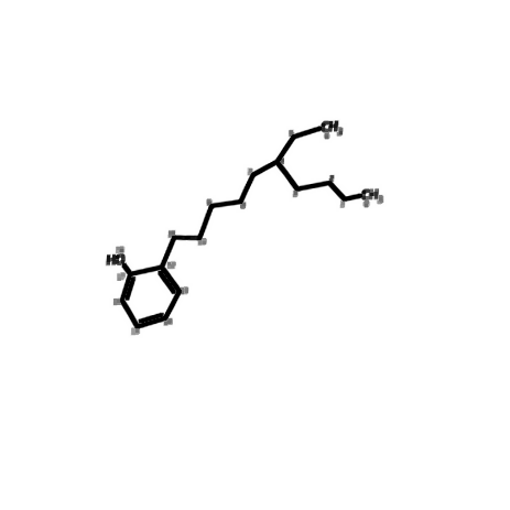 CCCCC(CC)CCCCCc1ccccc1O